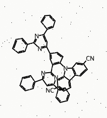 N#Cc1ccc2c3ccc(C#N)cc3n(-c3ccc(-c4cc(-c5ccccc5)nc(-c5ccccc5)n4)cc3-c3nc(-c4ccccc4)cc(-c4ccccc4)n3)c2c1